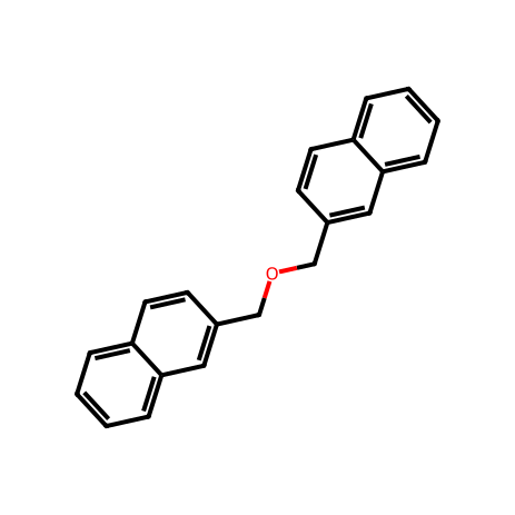 c1ccc2cc(COCc3ccc4ccccc4c3)ccc2c1